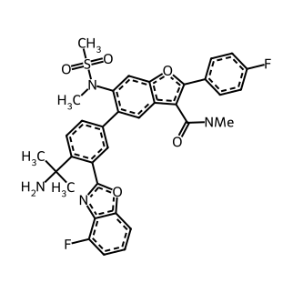 CNC(=O)c1c(-c2ccc(F)cc2)oc2cc(N(C)S(C)(=O)=O)c(-c3ccc(C(C)(C)N)c(-c4nc5c(F)cccc5o4)c3)cc12